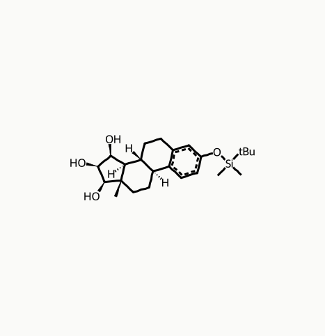 CC(C)(C)[Si](C)(C)Oc1ccc2c(c1)CC[C@H]1[C@@H]3[C@H](O)[C@H](O)[C@H](O)[C@@]3(C)CC[C@H]21